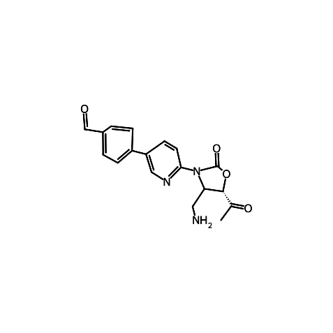 CC(=O)[C@H]1OC(=O)N(c2ccc(-c3ccc(C=O)cc3)cn2)C1CN